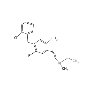 CCN(C)C=Nc1cc(F)c(Cc2ccccc2Cl)cc1C